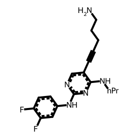 CCCNc1nc(Nc2ccc(F)c(F)c2)ncc1C#CCCCN